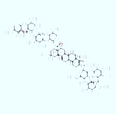 C[C@@H]1O[C@@H](O[C@H]2[C@H](OC(=O)[C@]34CCC(C)(C)C[C@H]3C3=CC[C@@H]5[C@@]6(C)CC[C@H](O[C@@H]7O[C@H](CO)[C@@H](O)[C@H](O[C@@H]8O[C@H](CO)[C@@H](O)[C@H](O)[C@H]8O)[C@H]7O[C@@H]7O[C@H](CO)[C@H](O)[C@H](O)[C@H]7O)[C@@](C)(C=O)[C@@H]6CC[C@@]5(C)[C@]3(C)C[C@H]4O)OC[C@H](O)[C@@H]2O)[C@H](O)[C@H](O)[C@H]1O[C@@H]1OC[C@@H](O)[C@H](O[C@@H]2OC[C@@H](O)[C@H](O)[C@H]2O)[C@H]1O